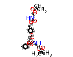 C=C(C)C(=O)OCCNC(=O)OCCc1ccc(OCC(COc2ccccc2)OC(=O)NCCOC(=O)C(=C)C)cc1